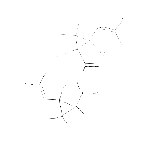 CC(C)=CC1(Cl)C(C)(C)C1(Cl)C(=O)OC(=O)C1(Cl)C(C)(C)C1(Cl)C=C(C)C